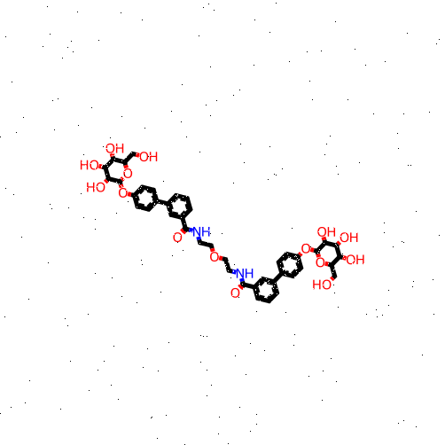 O=C(NCCOCCNC(=O)c1cccc(-c2ccc(OC3OC(CO)C(O)C(O)C3O)cc2)c1)c1cccc(-c2ccc(OC3OC(CO)C(O)C(O)C3O)cc2)c1